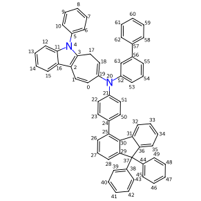 C1=Cc2c(n(-c3ccccc3)c3ccccc23)CC=C1N(c1ccc(-c2cccc3c2-c2ccccc2C3(c2ccccc2)c2ccccc2)cc1)c1cccc(-c2ccccc2)c1